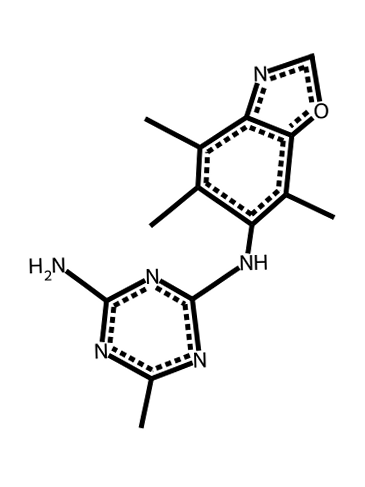 Cc1nc(N)nc(Nc2c(C)c(C)c3ncoc3c2C)n1